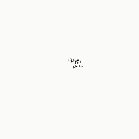 [La].[MgH2].[Mn+2].[O-2]